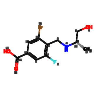 C[C@@H](CO)NCc1c(F)cc(C(=O)O)cc1Br